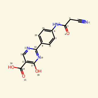 N#CCC(=O)Nc1ccc(-c2ncc(C(=O)O)c(O)n2)cc1